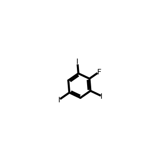 Fc1c(I)cc(I)cc1I